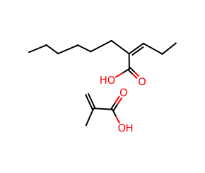 C=C(C)C(=O)O.CCC=C(CCCCCC)C(=O)O